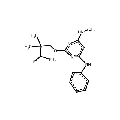 CNc1nc(Nc2ccccc2)nc(OCC(C)(P)C(F)P)n1